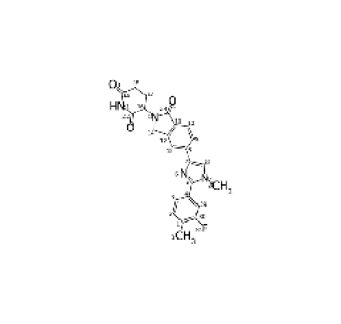 Cc1ccc(-c2nc(-c3ccc4c(c3)CN(C3CCC(=O)NC3=O)C4=O)cn2C)cc1F